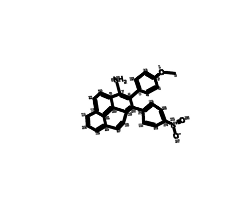 COc1ccc(-c2c(N)c3ccc4cccc5ccc(c2-c2ccc([N+](=O)[O-])cc2)c3c45)cc1